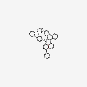 c1ccc(-c2ccc(N(c3ccc4c(c3)C3(CC5CCC3C5)c3ccccc3-4)c3c(-c4ccccc4)c4ccccc4c4ccccc34)cc2)cc1